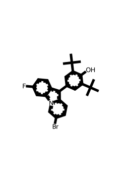 CC(C)(C)c1cc(-c2c3ccc(F)cc3n3cc(Br)ccc23)cc(C(C)(C)C)c1O